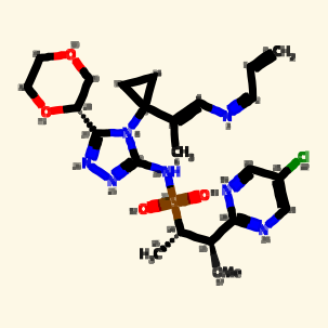 C=C/C=N\C=C(/C)C1(n2c(NS(=O)(=O)[C@@H](C)[C@H](OC)c3ncc(Cl)cn3)nnc2[C@H]2COCCO2)CC1